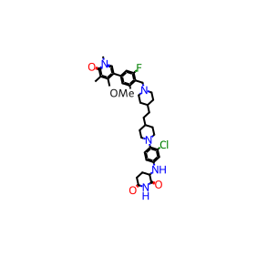 COc1cc(-c2cn(C)c(=O)c(C)c2C)cc(F)c1CN1CCC(CCC2CCN(c3ccc(NC4CCC(=O)NC4=O)cc3Cl)CC2)CC1